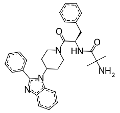 CC(C)(N)C(=O)N[C@H](Cc1ccccc1)C(=O)N1CCC(n2c(-c3ccccc3)nc3ccccc32)CC1